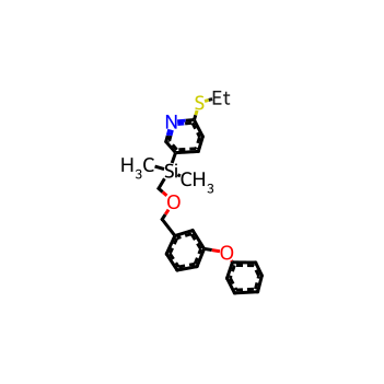 CCSc1ccc([Si](C)(C)COCc2cccc(Oc3ccccc3)c2)cn1